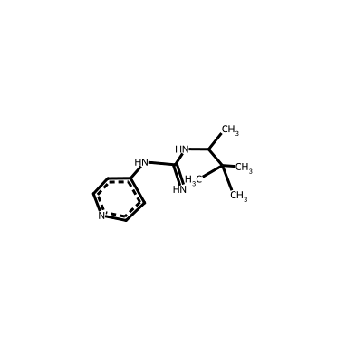 CC(NC(=N)Nc1ccncc1)C(C)(C)C